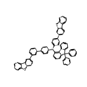 c1ccc(C2(c3ccccc3)c3ccccc3-c3c(N(c4ccc(-c5cccc(-c6ccc7sc8ccccc8c7c6)c5)cc4)c4ccc(-c5ccc6c(c5)sc5ccccc56)cc4)cccc32)cc1